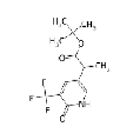 CC(C(=O)OC(C)(C)C)c1c[nH]c(=O)c(C(F)(F)F)c1